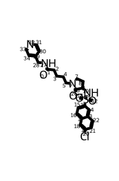 O=C(CCCCN1CCC(NS(=O)(=O)c2ccc3cc(Cl)ccc3c2)C1=O)NCc1ccncc1